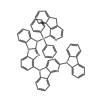 c1ccc([Si](c2ccccc2)(c2nccc3c2-c2ccccc2C3)n2c3ccccc3n3c4cccc(-n5c6ccccc6c6nc(-n7c8ccccc8c8ccccc87)ccc65)c4nc23)cc1